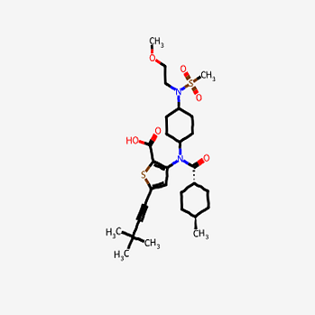 COCCN(C1CCC(N(c2cc(C#CC(C)(C)C)sc2C(=O)O)C(=O)[C@H]2CC[C@H](C)CC2)CC1)S(C)(=O)=O